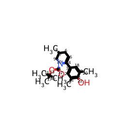 Cc1cc(C2=CCC(C)CN2C(=O)OC(C)(C)C)cc(C)c1O